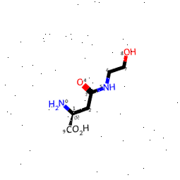 N[C@@H](CC(=O)NCCO)C(=O)O